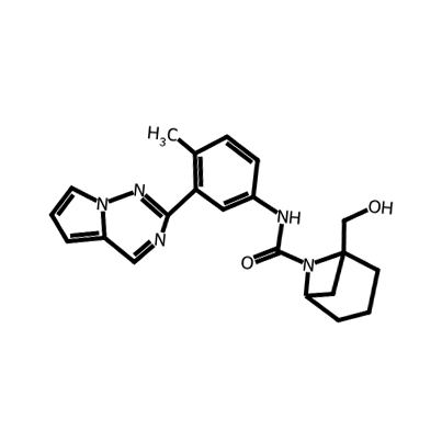 Cc1ccc(NC(=O)N2C3CCCC2(CO)C3)cc1-c1ncc2cccn2n1